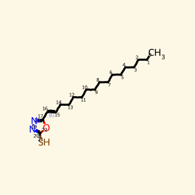 CCCCCCCCCCCCCCC/C=C/c1nnc(S)o1